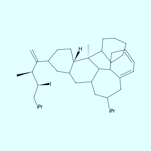 C=C(C1CC[C@H]2C(C1)CC1CC(C(C)C)CC3=CC=CCC3C1[C@]2(C)C1CCCCC1)[C@H](C)[C@@H](I)CC(C)C